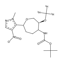 [2H]C([2H])([2H])O[C@@H]1COC(c2c([N+](=O)[O-])cnn2C)CCC1NC(=O)OC(C)(C)C